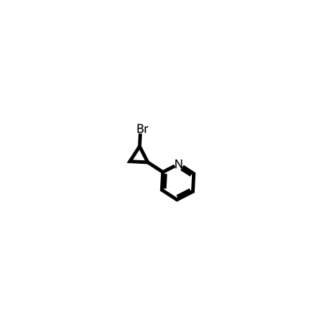 BrC1CC1c1ccccn1